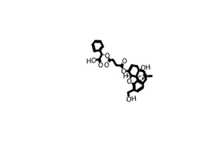 CN1CC[C@]23c4c5ccc(CO)c4O[C@H]2C(OC(=O)CCC(=O)O[C@H](C(=O)O)c2ccccc2)=CC[C@@]3(O)C1C5